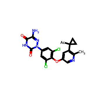 CC(=O)C1(c2cc(Oc3c(Cl)cc(-n4nc(N)c(=O)[nH]c4=O)cc3Cl)cnc2C)CC1